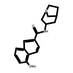 COc1cccc2cc(C(=O)NC3CC4CCN(C4)C3)ccc12